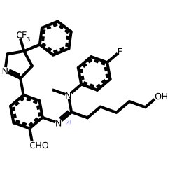 CN(/C(CCCCCO)=N\c1cc(C2=NCC(c3ccccc3)(C(F)(F)F)C2)ccc1C=O)c1ccc(F)cc1